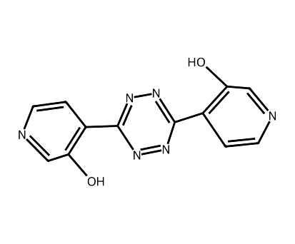 Oc1cnccc1-c1nnc(-c2ccncc2O)nn1